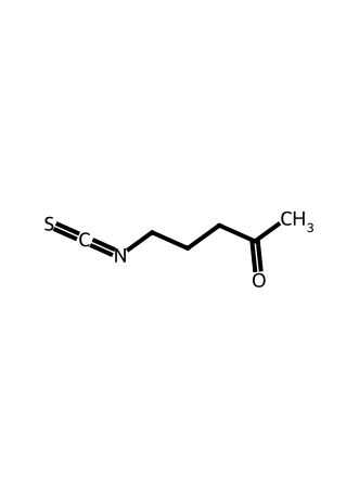 CC(=O)CCCN=C=S